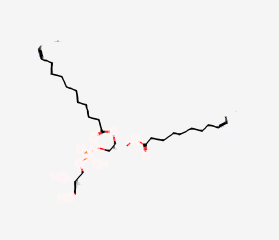 CCCCCCCC/C=C\CCCCCCCC(=O)OC[C@H](COP(=O)(O)OC[C@@H](O)CO)OC(=O)CCCCCCCCC/C=C\CCCCCCCCCC